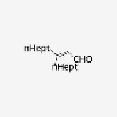 CCCCCCCC(=CC=O)CCCCCCC